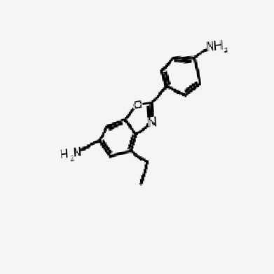 CCc1cc(N)cc2oc(-c3ccc(N)cc3)nc12